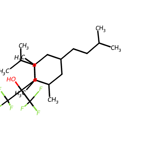 CC(C)CCC(CC(C)CC(O)(C(F)(F)F)C(F)(F)F)CC(C)C(C)CC(C)C